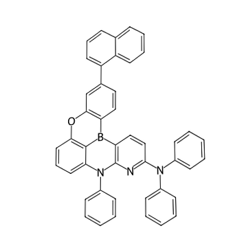 c1ccc(N(c2ccccc2)c2ccc3c(n2)N(c2ccccc2)c2cccc4c2B3c2ccc(-c3cccc5ccccc35)cc2O4)cc1